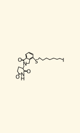 O=C1CCC(N2Cc3c(SCCCCCCCI)cccc3C2=O)C(=O)N1